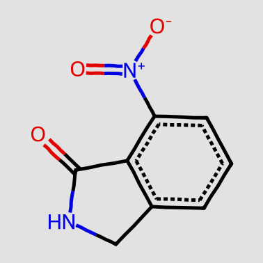 O=C1NCc2cccc([N+](=O)[O-])c21